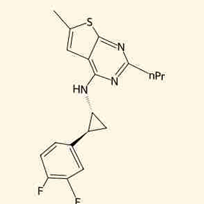 CCCc1nc(N[C@@H]2C[C@H]2c2ccc(F)c(F)c2)c2cc(C)sc2n1